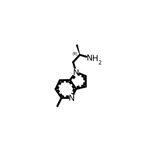 Cc1ccc2c(ccn2C[C@@H](C)N)n1